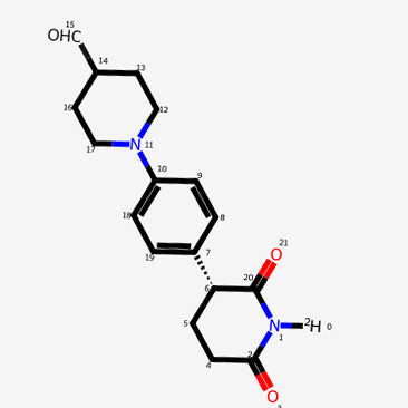 [2H]N1C(=O)CC[C@H](c2ccc(N3CCC(C=O)CC3)cc2)C1=O